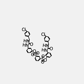 O=C(NCc1ccc(Cl)cc1)Nc1cccc(OS(=O)(=O)c2cccc(S(=O)(=O)Oc3cccc(NC(=O)NCc4ccc(Cl)cc4)c3)c2)c1